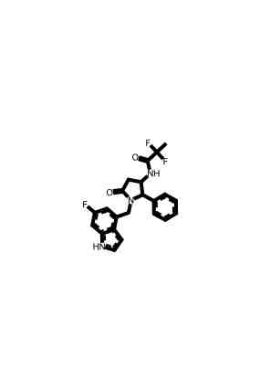 CC(F)(F)C(=O)NC1CC(=O)N(Cc2cc(F)cc3[nH]ccc23)C1c1ccccc1